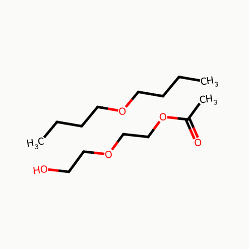 CC(=O)OCCOCCO.CCCCOCCCC